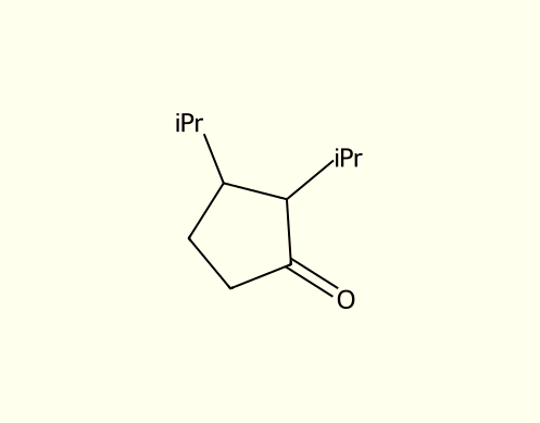 CC(C)C1CCC(=O)C1C(C)C